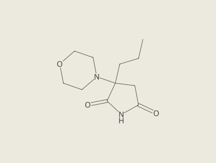 CCCC1(N2CCOCC2)CC(=O)NC1=O